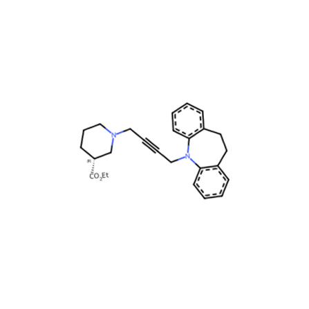 CCOC(=O)[C@@H]1CCCN(CC#CCN2c3ccccc3CCc3ccccc32)C1